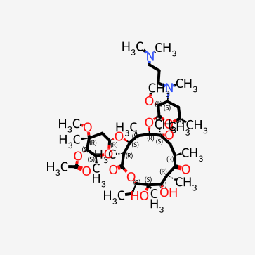 CC[C@H]1OC(=O)[C@H](C)[C@@H](O[C@H]2C[C@@](C)(OC)[C@@H](OC(C)=O)[C@H](C)O2)[C@H](C)[C@@H](O[C@@H]2O[C@H](C)C[C@H](N(C)CCCN(C)C)[C@H]2OC)[C@@](C)(OC)C[C@@H](C)C(=O)[C@H](C)[C@@H](O)[C@]1(C)O